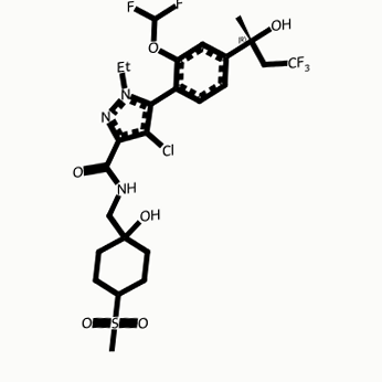 CCn1nc(C(=O)NCC2(O)CCC(S(C)(=O)=O)CC2)c(Cl)c1-c1ccc([C@](C)(O)CC(F)(F)F)cc1OC(F)F